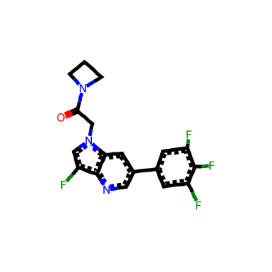 O=C(Cn1cc(F)c2ncc(-c3cc(F)c(F)c(F)c3)cc21)N1CCC1